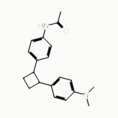 CC(=O)Nc1ccc(C2CCC2c2ccc(N(C)C)cc2)cc1